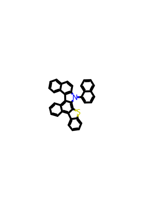 c1ccc2c(-n3c4ccc5ccccc5c4c4c5ccccc5c5c6ccccc6sc5c43)cccc2c1